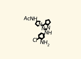 CC(=O)N[C@H]1CCN(c2nc(Nc3ccc(Cl)c(N)c3)nc3c2CCC3)C1